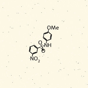 COc1ccc(NS(=O)(=O)c2cccc([N+](=O)[O-])c2)cc1